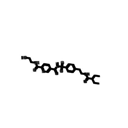 CCC(CC)C(=O)NCCc1ccc(S(=O)(=O)NC(=O)c2ccc(C(=O)NCCO)nc2)cc1